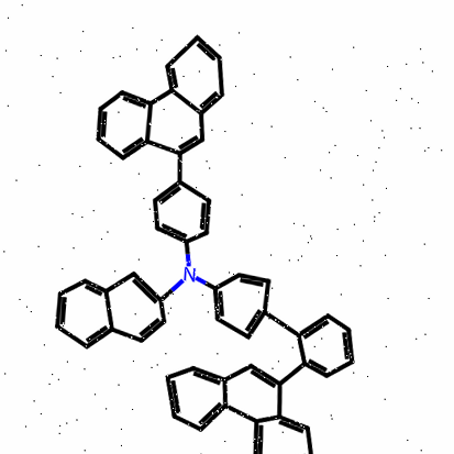 c1ccc(-c2cc3ccccc3c3ccccc23)c(-c2ccc(N(c3ccc(-c4cc5ccccc5c5ccccc45)cc3)c3ccc4ccccc4c3)cc2)c1